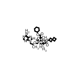 C[C@H](Cn1cnc2c(N)ncnc21)OCP(=O)(NC(C)(C)C(=O)OC1CCCCC1)NC(C)(C)C(=O)OC1CC2(CCC2)C1